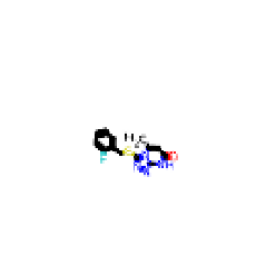 Cc1cc(=O)[nH]c2nnc(SCc3ccccc3F)n12